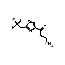 CCCC(=O)c1csc(CC(F)(F)F)n1